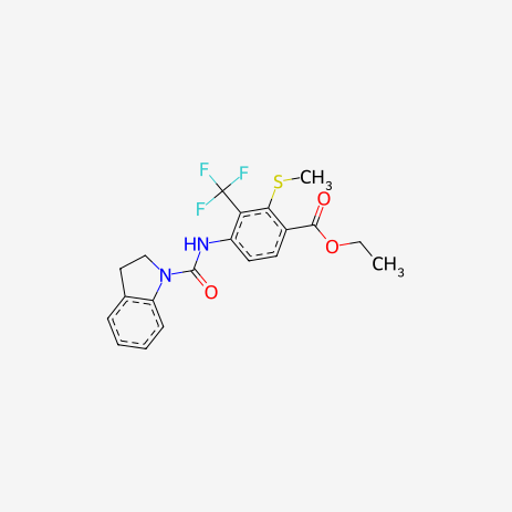 CCOC(=O)c1ccc(NC(=O)N2CCc3ccccc32)c(C(F)(F)F)c1SC